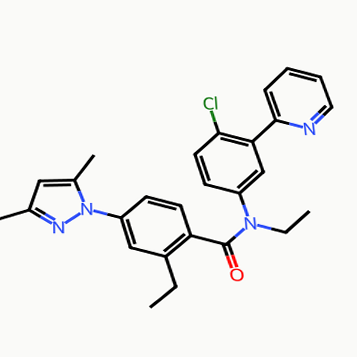 CCc1cc(-n2nc(C)cc2C)ccc1C(=O)N(CC)c1ccc(Cl)c(-c2ccccn2)c1